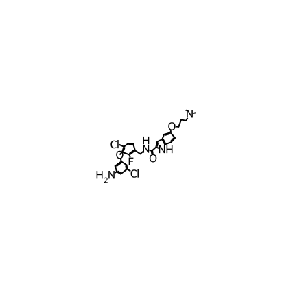 CN(C)CCCOc1ccc2[nH]c(C(=O)NCc3ccc(Cl)c(Oc4cc(N)cc(Cl)c4)c3F)cc2c1